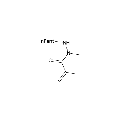 C=C(C)C(=O)N(C)NCCCCC